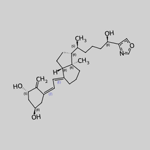 C=C1/C(=C\C=C2/CCC[C@]3(C)[C@@H]([C@@H](C)CCC[C@@H](O)c4cocn4)CC[C@@H]23)C[C@@H](O)C[C@@H]1O